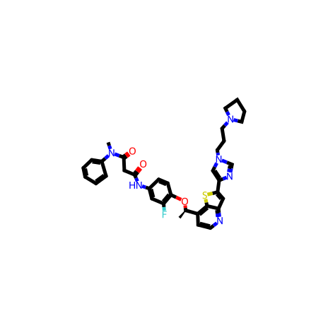 C[C@@H](Oc1ccc(NC(=O)CC(=O)N(C)c2ccccc2)cc1F)c1ccnc2cc(-c3cn(CCCN4CCCC4)cn3)sc12